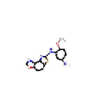 COc1ccc(N)cc1Nc1nc2c(ccc3ocnc32)s1